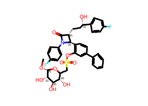 CO[C@@H]1OC(CS(=O)(=O)Oc2cc(-c3ccccc3)ccc2[C@@H]2[C@@H](CC[C@H](O)c3ccc(F)cc3)C(=O)N2c2ccc(F)cc2)[C@H](O)[C@@H](O)[C@@H]1O